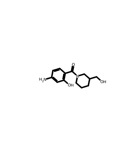 Nc1ccc(C(=O)N2CCCC(CO)C2)c(O)c1